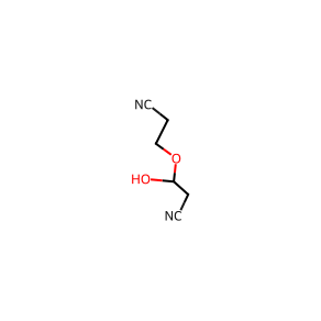 N#CCCOC(O)CC#N